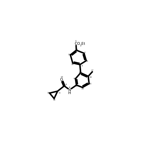 CCOC(=O)c1ccc(-c2cc(NC(=O)C3CC3)ccc2C)cc1